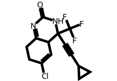 O=C1N=C2CCC(Cl)=CC2C(C#CC2CC2)(C(F)(F)F)N1